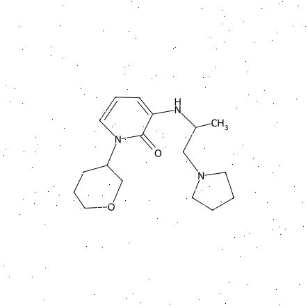 CC(CN1CCCC1)Nc1cccn(C2CCCOC2)c1=O